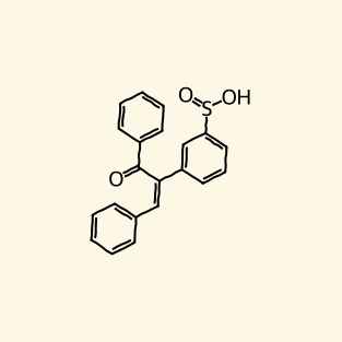 O=C(/C(=C\c1ccccc1)c1cccc(S(=O)O)c1)c1ccccc1